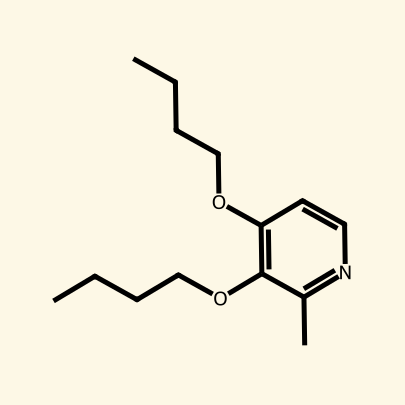 CCCCOc1ccnc(C)c1OCCCC